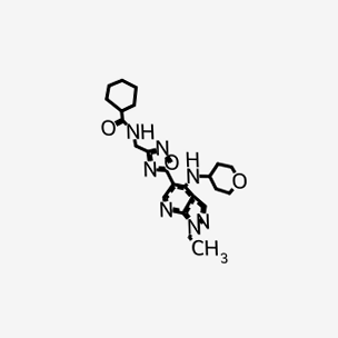 CCn1ncc2c(NC3CCOCC3)c(-c3nc(CNC(=O)C4CCCCC4)no3)cnc21